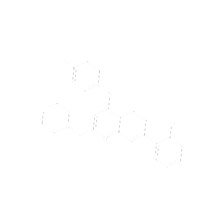 FC(F)(F)c1ccc(Nc2cc(CN3CCOCC3)nc3nc(-c4ncccc4C(F)(F)F)ccc23)cc1